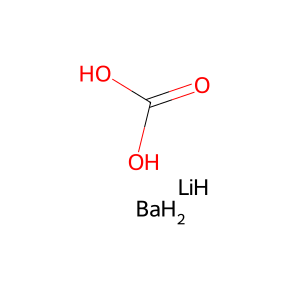 O=C(O)O.[BaH2].[LiH]